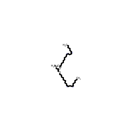 CCCCC/C=C\C/C=C\CCCCCCCCOC=C(CN(C)C)OCCCCCCCC/C=C\C/C=C\CCCCC